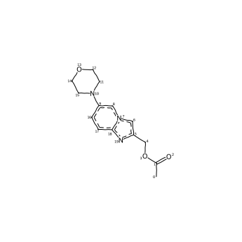 CC(=O)OCc1cn2cc(N3CCOCC3)ccc2n1